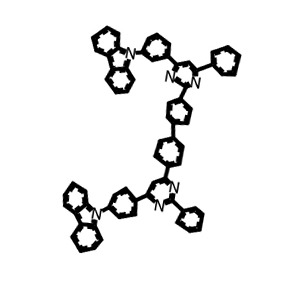 c1ccc(-c2cc(-c3cccc(-n4c5ccccc5c5ccccc54)c3)nc(-c3ccc(-c4ccc(-c5cc(-c6ccc(-n7c8ccccc8c8ccccc87)cc6)nc(-c6ccccc6)n5)cc4)cc3)n2)cc1